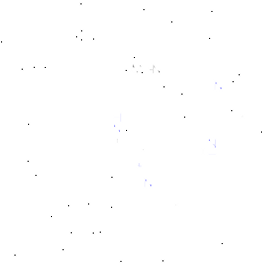 C=CCN/C(=N/C)c1[nH]cnc1NC